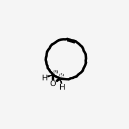 C1=CCCCCC[C@H]2O[C@H]2CCCCCC1